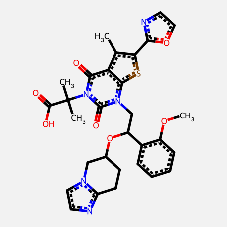 COc1ccccc1C(Cn1c(=O)n(C(C)(C)C(=O)O)c(=O)c2c(C)c(-c3ncco3)sc21)OC1CCc2nccn2C1